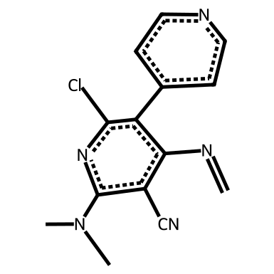 C=Nc1c(C#N)c(N(C)C)nc(Cl)c1-c1ccncc1